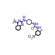 Cc1ccc([N+](=O)[O-])cc1NC(=O)NC1CCC(Nc2nc(N(C)C)c3ccccc3n2)CC1